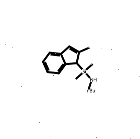 CCCCN[Si](C)(C)C1C(C)=Cc2ccccc21